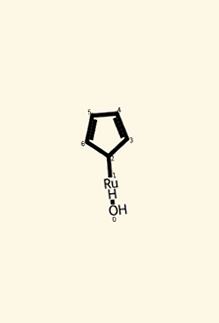 [OH][RuH][CH]1C=CC=C1